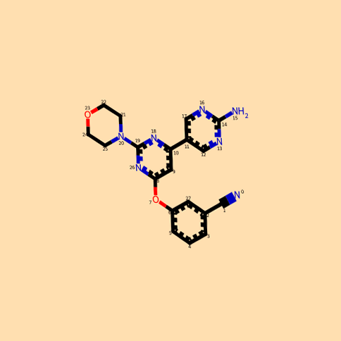 N#Cc1cccc(Oc2cc(-c3cnc(N)nc3)nc(N3CCOCC3)n2)c1